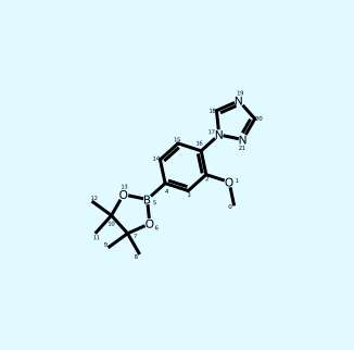 COc1cc(B2OC(C)(C)C(C)(C)O2)ccc1-n1cncn1